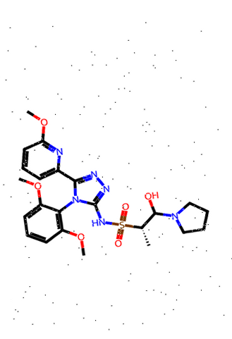 COc1cccc(-c2nnc(NS(=O)(=O)[C@@H](C)C(O)N3CCCC3)n2-c2c(OC)cccc2OC)n1